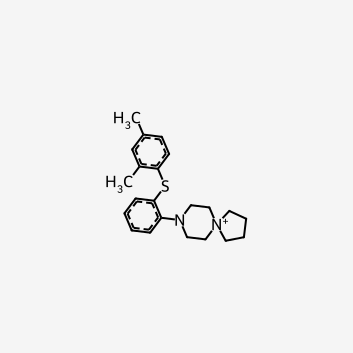 Cc1ccc(Sc2ccccc2N2CC[N+]3(CCCC3)CC2)c(C)c1